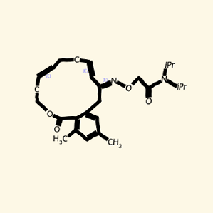 Cc1cc(C)c2c(c1)CC(=N\OCC(=O)N(C(C)C)C(C)C)/C=C/CC/C=C/CCOC2=O